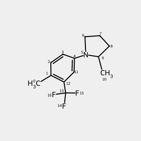 Cc1ccc(N2CCCC2C)cc1C(F)(F)F